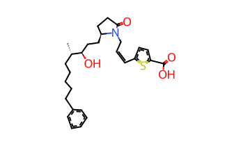 C[C@@H](CCCCCc1ccccc1)[C@H](O)CC[C@H]1CCC(=O)N1C/C=C\c1ccc(C(=O)O)s1